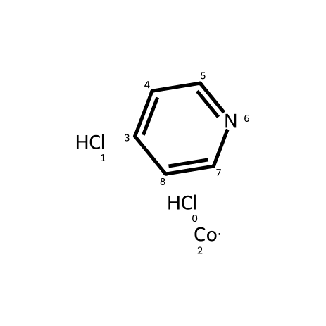 Cl.Cl.[Co].c1ccncc1